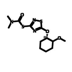 COC1CCCC[C@@H]1Oc1nc(SC(=O)N(C)C)ns1